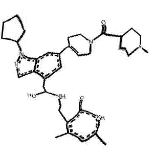 Cc1cc(C)c(CNC(O)c2cc(C3=CCN(C(=O)C4CCN(C)CC4)CC3)cc3c2cnn3C2CCCC2)c(=O)[nH]1